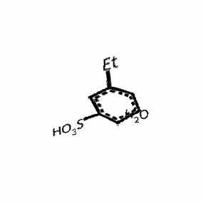 CCc1cc[c]c(S(=O)(=O)O)c1.O